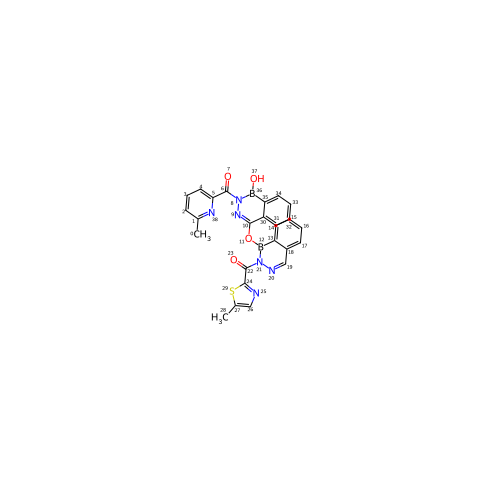 Cc1cccc(C(=O)N2N=C(OB3c4ccccc4C=NN3C(=O)c3ncc(C)s3)c3ccccc3B2O)n1